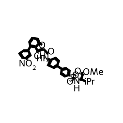 COC(=O)C(NS(=O)(=O)c1ccc(-c2ccc(NC(=O)c3oc4cccc(-c5cccc([N+](=O)[O-])c5)c4c3C)cc2)cc1)C(C)C